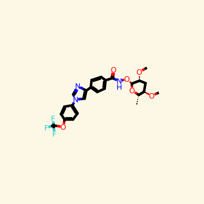 CO[C@@H]1C[C@@H](OC)[C@H](C)O[C@H]1ONC(=O)c1ccc(-c2cn(-c3ccc(OC(F)(F)F)cc3)cn2)cc1